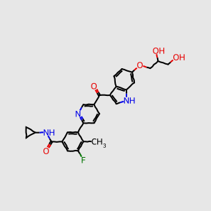 Cc1c(F)cc(C(=O)NC2CC2)cc1-c1ccc(C(=O)c2c[nH]c3cc(OCC(O)CO)ccc23)cn1